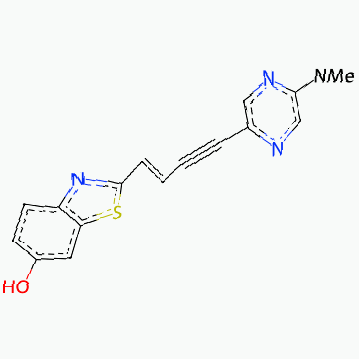 CNc1cnc(C#C/C=C/c2nc3ccc(O)cc3s2)cn1